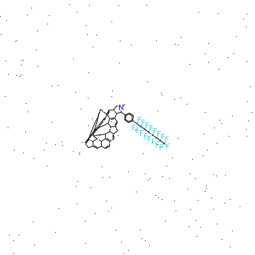 CN1CC2C3=C4C5=C(C=C6CC7=CC8=C9C%10C(C=C8)C=C8CC(=C3)C3C8C%10C8C9C7C6C5C8C43)C2C1c1ccc(C(F)(F)C(F)(F)C(F)(F)C(F)(F)C(F)(F)C(F)(F)C(F)(F)C(F)(F)F)cc1